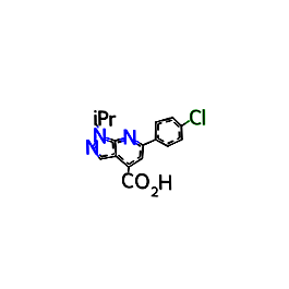 CC(C)n1ncc2c(C(=O)O)cc(-c3ccc(Cl)cc3)nc21